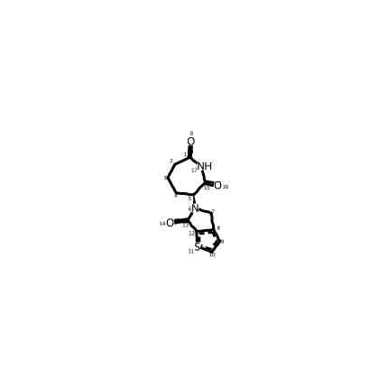 O=C1CCC[C@H](N2Cc3ccsc3C2=O)C(=O)N1